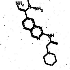 C=C(CN1CCCCC1)Nc1cc2cc(/C(=C/N)N(C)N)ccc2cn1